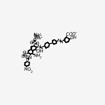 Nc1c(N=Nc2ccc([N+](=O)[O-])cc2)c(S(=O)(=O)[O-])cc2cc(S(=O)(=O)[O-])c(N=Nc3ccc(-c4ccc(N=Nc5ccc(O)c(C(=O)[O-])c5)cc4)cc3)c(O)c12.[Na+].[Na+].[Na+]